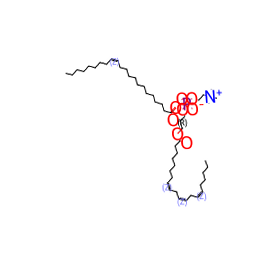 CCCCC/C=C\C/C=C\C/C=C\CCCCCCC(=O)OC[C@H](COP(=O)([O-])OCC[N+](C)(C)C)OC(=O)CCCCCCCCCCC/C=C\CCCCCCCC